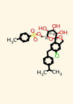 Cc1ccc(S(=O)(=O)OC[C@H]2O[C@]3(OCc4cc(Cl)c(Cc5ccc(C(C)C)cc5)cc43)[C@H](O)[C@@H](O)[C@@H]2O)cc1